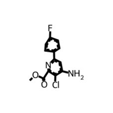 COC(=O)c1nc(-c2ccc(F)cc2)cc(N)c1Cl